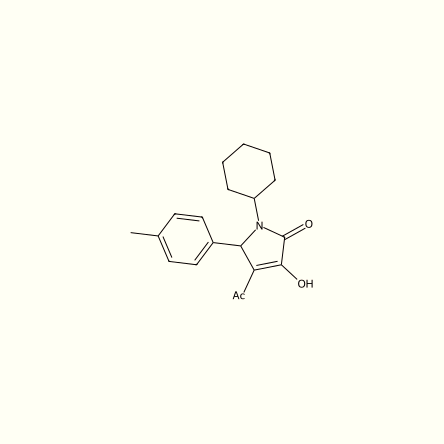 CC(=O)C1=C(O)C(=O)N(C2CCCCC2)C1c1ccc(C)cc1